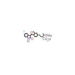 CO[C@H](C)C(CCc1ccc2c(c1)CO/C2=C1/C(=O)Nc2ccc(F)cc21)C(=O)O